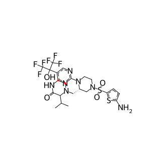 CC(C)C1C(=O)NCCN1C[C@H]1CN(S(=O)(=O)c2ccc(N)s2)CCN1c1ncc(C(O)(C(F)(F)F)C(F)(F)F)cn1